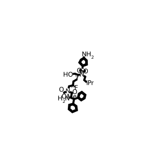 COC(=O)N(C[C@H](F)CC[C@@H](CO)N(CCC(C)C)S(=O)(=O)c1ccc(N)cc1)C(=O)[C@@H](N)C(c1ccccc1)c1ccccc1